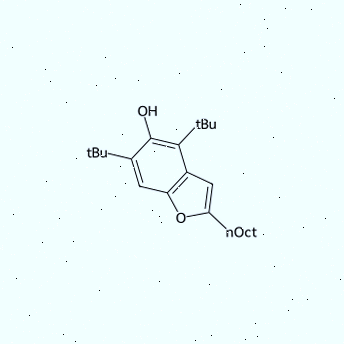 CCCCCCCCc1cc2c(C(C)(C)C)c(O)c(C(C)(C)C)cc2o1